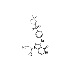 CC1(C)CCN(S(=O)(=O)c2ccc(Nc3nn([C@@H](CC#N)C4CC4)c4cc[nH]c(=O)c34)cc2)C1